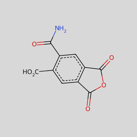 NC(=O)c1cc2c(cc1C(=O)O)C(=O)OC2=O